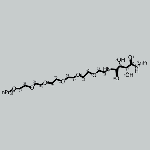 CCCNC(=O)[C@H](O)[C@@H](O)C(=O)NCCOCCOCCOCCOCCOCCOCCC